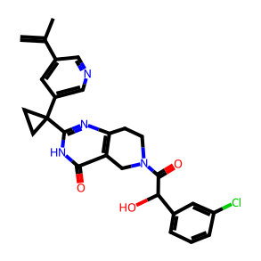 C=C(C)c1cncc(C2(c3nc4c(c(=O)[nH]3)CN(C(=O)C(O)c3cccc(Cl)c3)CC4)CC2)c1